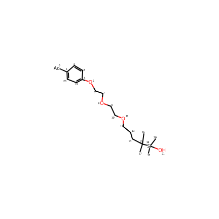 CC(=O)c1ccc(OCCOCCOCCCC(C)(C)[Si](C)(C)O)cc1